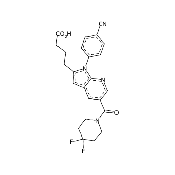 N#Cc1ccc(-n2c(CCCC(=O)O)cc3cc(C(=O)N4CCC(F)(F)CC4)cnc32)cc1